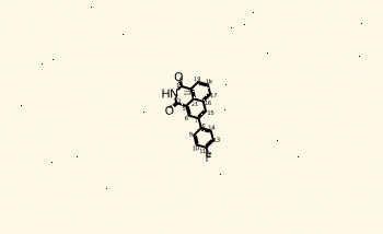 O=C1NC(=O)c2cc(-c3ccc(F)cc3)cc3cccc1c23